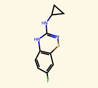 Fc1ccc2c(c1)SN=C(NC1CC1)N2